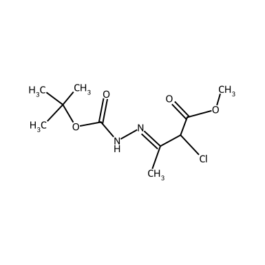 COC(=O)C(Cl)C(C)=NNC(=O)OC(C)(C)C